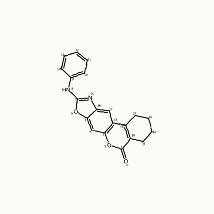 O=c1oc2cc3oc(Nc4ccccc4)nc3cc2c2c1CCCC2